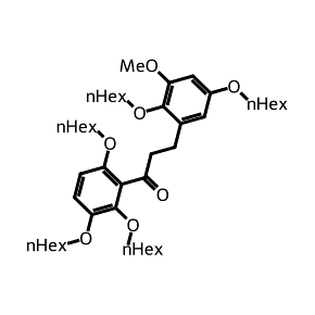 CCCCCCOc1cc(CCC(=O)c2c(OCCCCCC)ccc(OCCCCCC)c2OCCCCCC)c(OCCCCCC)c(OC)c1